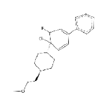 COCC[C@H]1CC[C@H](C2(Cl)C=CC(c3ccccc3)=CC2F)CC1